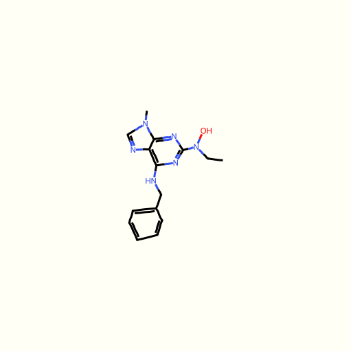 CCN(O)c1nc(NCc2ccccc2)c2ncn(C)c2n1